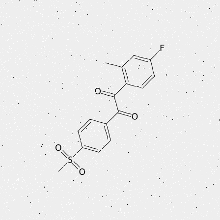 Cc1cc(F)ccc1C(=O)C(=O)c1ccc(S(C)(=O)=O)cc1